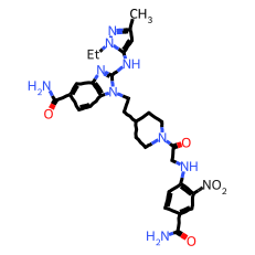 CCn1nc(C)cc1Nc1nc2cc(C(N)=O)ccc2n1CCC1CCN(C(=O)CNc2ccc(C(N)=O)cc2[N+](=O)[O-])CC1